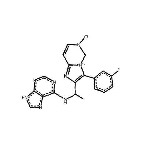 CC(Nc1ncnc2[nH]cnc12)C1=C(c2cccc(F)c2)[N+]2CN(Cl)C=CC2=N1